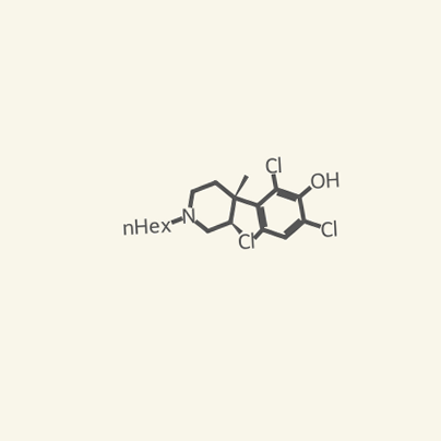 CCCCCCN1CC[C@](C)(c2c(Cl)cc(Cl)c(O)c2Cl)[C@@H](C)C1